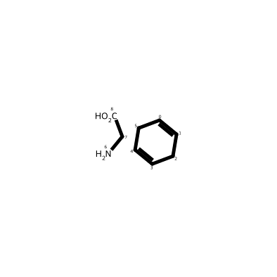 C1=CCC=CC1.NCC(=O)O